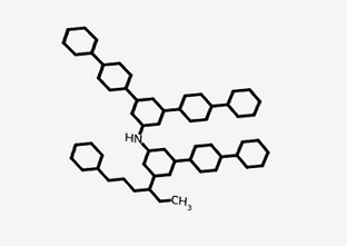 CCC(CCCC1CCCCC1)C1CC(NC2CC(C3CCC(C4CCCCC4)CC3)CC(C3CCC(C4CCCCC4)CC3)C2)CC(C2CCC(C3CCCCC3)CC2)C1